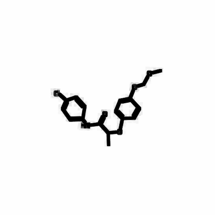 COCOc1ccc(OC(C)C(=O)Nc2ccc(Cl)cc2)cc1